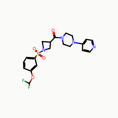 O=C(C1CN(S(=O)(=O)c2cccc(OC(F)F)c2)C1)N1CCN(c2ccncc2)CC1